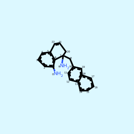 Nc1cccc2c1C(N)(Cc1ccc3ccccc3c1)CC=C2